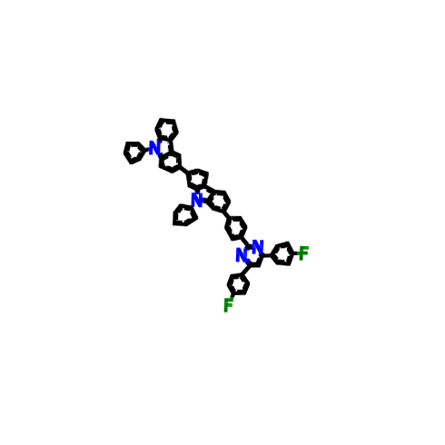 Fc1ccc(-c2cc(-c3ccc(F)cc3)nc(-c3ccc(-c4ccc5c6ccc(-c7ccc8c(c7)c7ccccc7n8-c7ccccc7)cc6n(-c6ccccc6)c5c4)cc3)n2)cc1